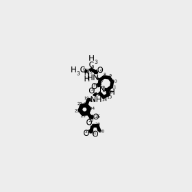 CN[C@@H](C)C(=O)N[C@H]1CCCC[C@H]2CC[C@@H](C(=O)NCc3cccc(C(=O)OC4CCOC4=O)c3)N2C1=O